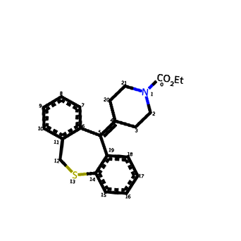 CCOC(=O)N1CCC(=C2c3ccccc3CSc3ccccc32)CC1